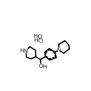 Cl.Cl.OC(c1ccc(N2CCCCC2)cc1)C1CCNCC1